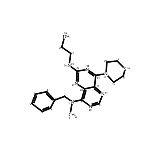 CN(Cc1ccccc1)c1ncnc2c(N3CCSCC3)nc(NCCO)nc12